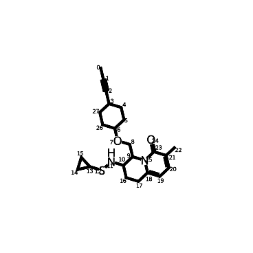 CC#CC1CCC(OCC2C(NSC3CC3)CCc3ccc(C)c(=O)n32)CC1